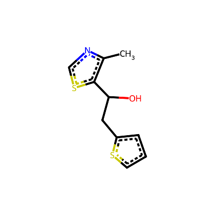 Cc1ncsc1C(O)Cc1cccs1